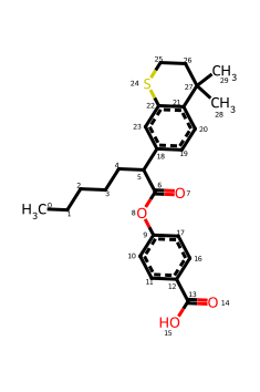 CCCCCC(C(=O)Oc1ccc(C(=O)O)cc1)c1ccc2c(c1)SCCC2(C)C